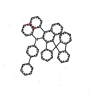 c1ccc(-c2ccc(N(c3ccccc3)c3c4c(c5ccccc5c3-c3ccccc3)C3(c5ccccc5-c5ccccc53)c3ccccc3-4)cc2)cc1